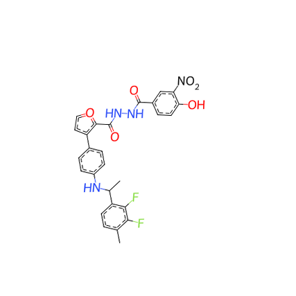 Cc1ccc(C(C)Nc2ccc(-c3ccoc3C(=O)NNC(=O)c3ccc(O)c([N+](=O)[O-])c3)cc2)c(F)c1F